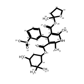 CC1=C(C(=O)OC2CC(C)CC(C)(C)C2)C(c2cccc([N+](=O)[O-])c2)C(C(=O)OC2(C)CCCO2)=C(C)N1